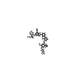 COc1cc(/C=C/c2cccc(-c3cccc(-c4nc5cc(CN6CCOCC6C(=O)O)cc(C#N)c5o4)c3C)c2C)c(C(F)(F)F)cc1CN1CC[C@@H](O)C1